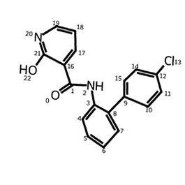 O=C(Nc1ccccc1-c1ccc(Cl)cc1)c1cccnc1O